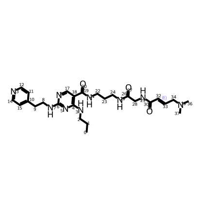 CCCNc1nc(NCCc2ccncc2)ncc1C(=O)NCCCNC(=O)CNC(=O)/C=C/CN(C)C